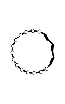 [C]1=C/C=C/C=C\CCCCCCCCCCCCCC/1